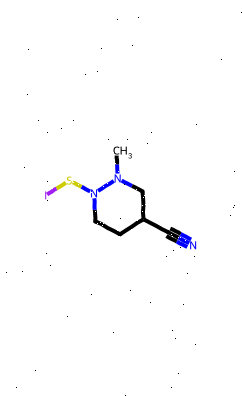 CN1CC(C#N)CCN1SI